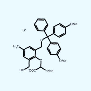 CCCCCCCCCC(Oc1c(CO)cc(C)cc1COC(c1ccccc1)(c1ccc(OC)cc1)c1ccc(OC)cc1)C(=O)[O-].[Li+]